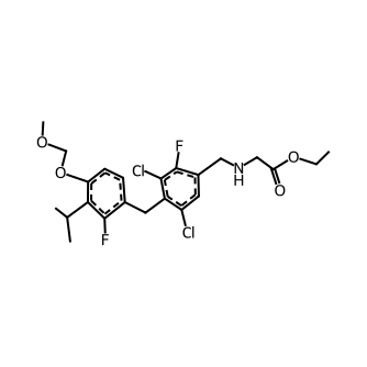 CCOC(=O)CNCc1cc(Cl)c(Cc2ccc(OCOC)c(C(C)C)c2F)c(Cl)c1F